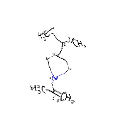 C=C(C)N1CC(C(C)C)C1